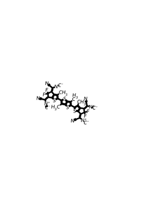 [C-]#[N+]/C(C#N)=C1/c2c(sc(-c3sc4c(C)c(-c5sc6c(c5C)/C(=C(/C#N)[N+]#[C-])C(F)(F)/C6=C(\C#N)[N+]#[C-])sc4c3C)c2C)/C(=C(\C#N)[N+]#[C-])C1(F)F